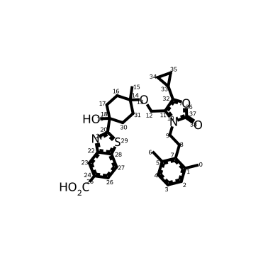 Cc1cccc(C)c1CCn1c(COC2(C)CCC(O)(c3nc4cc(C(=O)O)ccc4s3)CC2)c(C2CC2)oc1=O